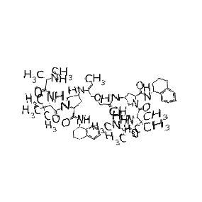 C=C(COC/C(=C/C)N[C@H]1C[C@@H](C(=O)N[C@@H]2CCCc3ccccc32)N(C(=O)[C@@H](NC(=O)[C@H](C)NC)C(C)(C)C)C1)N[C@H]1C[C@@H](C(=O)N[C@@H]2CCCc3ccccc32)N(C(=O)[C@@H](NC(=O)[C@H](C)NC)C(C)(C)C)C1